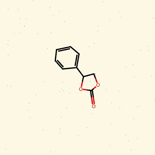 O=C1O[CH]C(c2ccccc2)O1